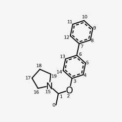 CC(Oc1ccc(-c2ccccc2)cc1)N1CCCC1